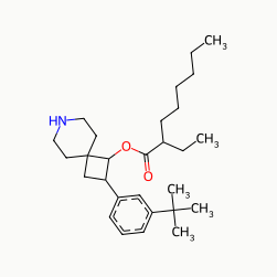 CCCCCCC(CC)C(=O)OC1C(c2cccc(C(C)(C)C)c2)CC12CCNCC2